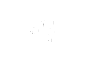 O=C(c1ccncc1)c1cc(Cl)ccc1Cl